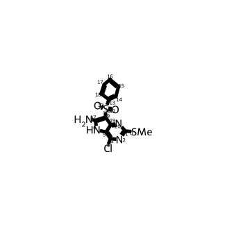 CSc1nc(Cl)c2[nH]c(N)c(S(=O)(=O)c3ccccc3)c2n1